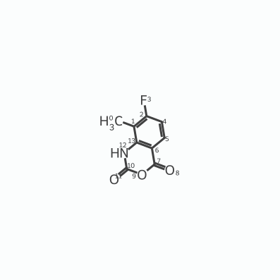 Cc1c(F)ccc2c(=O)oc(=O)[nH]c12